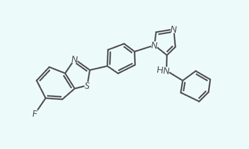 Fc1ccc2nc(-c3ccc(-n4cncc4Nc4ccccc4)cc3)sc2c1